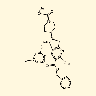 Cc1nc2c(c(-c3ccc(Cl)cc3Cl)c1C(=O)OCc1ccccc1)C(=O)N(C1CCN(C(=O)OC(C)(C)C)CC1)C2